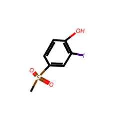 CS(=O)(=O)c1ccc(O)c(I)c1